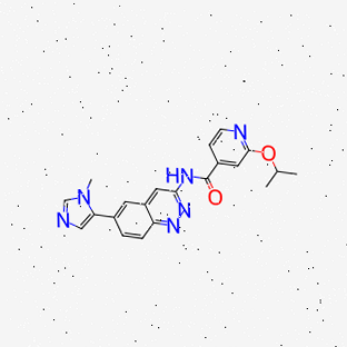 CC(C)Oc1cc(C(=O)Nc2cc3cc(-c4cncn4C)ccc3nn2)ccn1